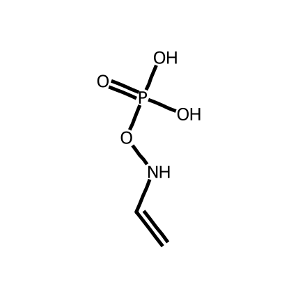 C=CNOP(=O)(O)O